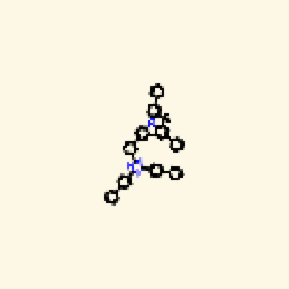 CC1(C)c2cc(-c3ccccc3)ccc2-n2c3ccc(-c4cccc(-c5nc(-c6ccc(-c7ccccc7)cc6)nc(-c6ccc(-c7ccccc7)cc6)n5)c4)cc3c3cc(-c4ccccc4)cc1c32